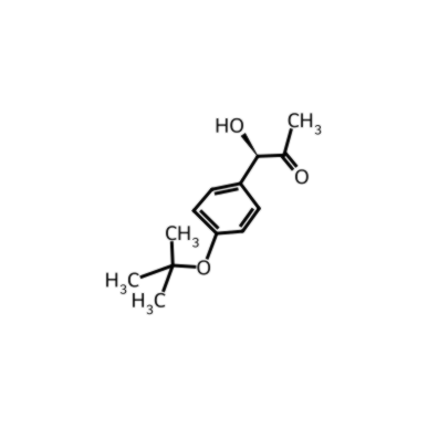 CC(=O)[C@H](O)c1ccc(OC(C)(C)C)cc1